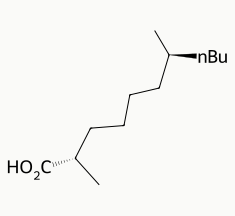 CCCC[C@H](C)CCCC[C@H](C)C(=O)O